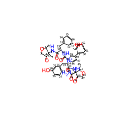 CC1OCC(=O)C1(C)NC(=O)C(Cc1cccc(O)c1)NC(=O)[N+]1(C(Cc2cccc(O)c2)C(=O)NC2(C(N)=O)C(=O)COC2C)C=CC(c2ccccc2)=C1